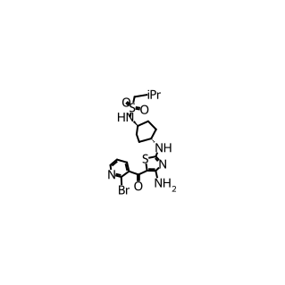 CC(C)CS(=O)(=O)N[C@H]1CC[C@H](Nc2nc(N)c(C(=O)c3cccnc3Br)s2)CC1